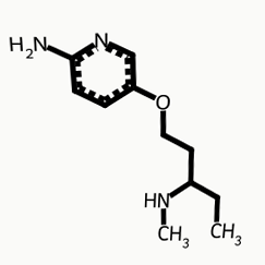 CCC(CCOc1ccc(N)nc1)NC